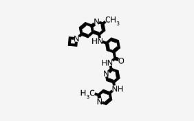 Cc1cc(Nc2ccc(NC(=O)c3cccc(Nc4cc(C)nc5ccc(N6CCC6)cc45)c3)nc2)ccn1